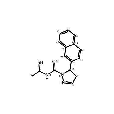 CC(S)NC(=O)N1N=CCC1c1ccc2ccccc2c1